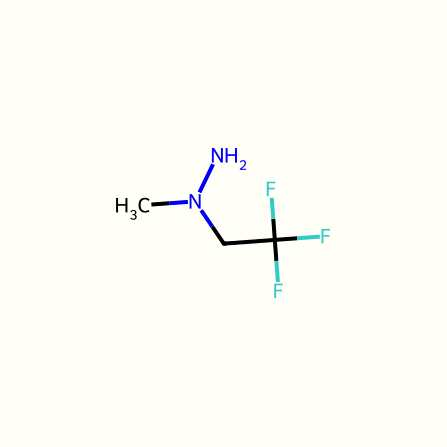 CN(N)CC(F)(F)F